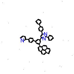 c1ccc(-c2ccc(-c3cc(-c4cc(-c5ccc(-c6cccnc6)cc5)cc(-c5ccc6ccc7cccc8ccc5c6c78)c4)nc(-c4ccccc4)n3)cc2)cc1